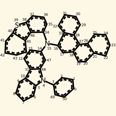 c1ccc(-n2c3ccccc3c3ccc(N(c4cc5ccc6ccccc6c5c5ccccc45)c4cccc5sc6ccccc6c45)cc32)cc1